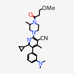 COCCC(=O)N1CCN(c2nc(C3CC3)c(-c3cccc(N(C)C)c3)c(C)c2C#N)CC1C